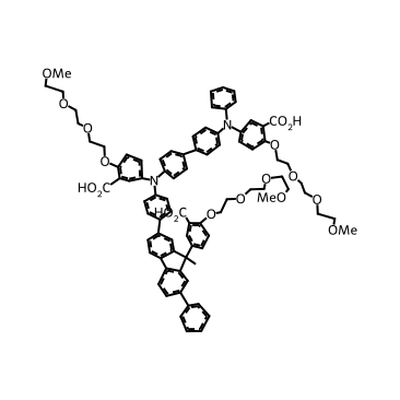 COCCOCCOCCOc1ccc(N(c2ccccc2)c2ccc(-c3ccc(N(c4ccc(-c5ccc6c(c5)C(C)(c5ccc(OCCOCCOCCOC)c(C(=O)O)c5)c5cc(-c7ccccc7)ccc5-6)cc4)c4ccc(OCCOCCOCCOC)c(C(=O)O)c4)cc3)cc2)cc1C(=O)O